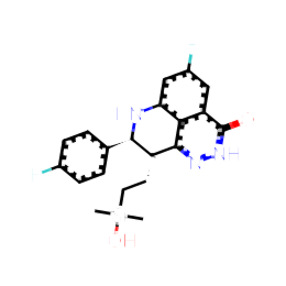 C[Si](C)(O)CC[C@H]1c2n[nH]c(=O)c3cc(F)cc(c23)N[C@@H]1c1ccc(F)cc1